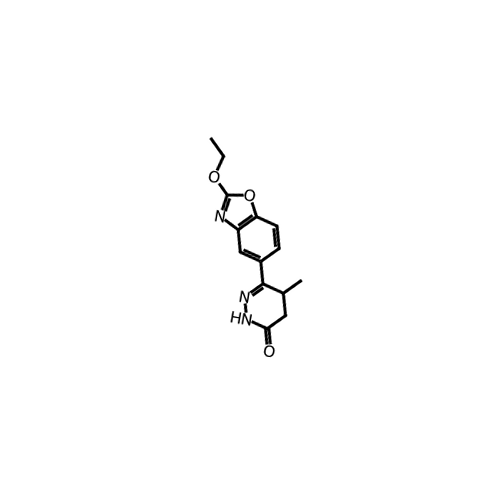 CCOc1nc2cc(C3=NNC(=O)CC3C)ccc2o1